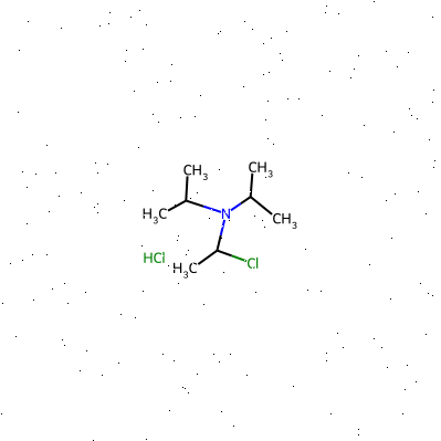 CC(C)N(C(C)C)C(C)Cl.Cl